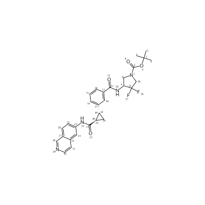 CC(C)(C)OC(=O)N1CC(NC(=O)c2cccc([C@@H]3C[C@H]3C(=O)Nc3ccc4cnccc4c3)c2)C(F)(F)C1